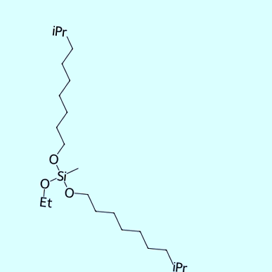 CCO[Si](C)(OCCCCCCCC(C)C)OCCCCCCCC(C)C